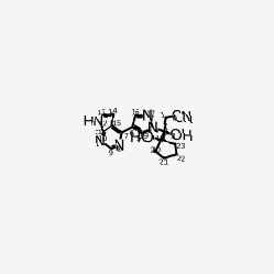 N#CCC(O)(n1cc(-c2ncnc3[nH]ccc23)cn1)C1(O)CCCC1